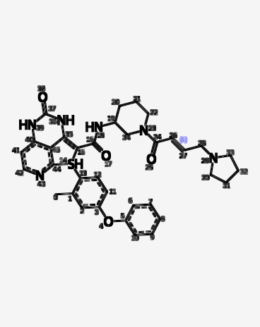 Cc1cc(Oc2ccccc2)ccc1[SH]1C(C(=O)NC2CCCN(C(=O)/C=C/CN3CCCC3)C2)=C2NC(=O)Nc3ccnc1c32